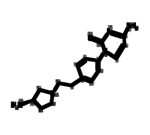 Nc1ccn(-c2ccc(CCN3CC[C@@H](N)C3)cc2)c(=O)n1